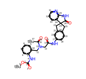 CC(C)(C)OC(=O)Nc1ccccc1CN(CC(=O)Nc1ccc2c(c1)CC1(C2)C(=O)Nc2ncccc21)C(=O)C(C)(C)C